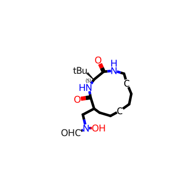 CC(C)(C)[C@@H]1NC(=O)C(CN(O)C=O)CCCCCCCNC1=O